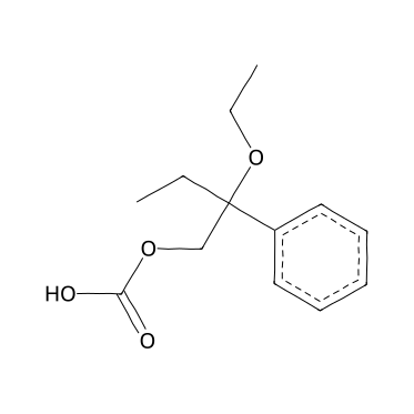 CCOC(CC)(COC(=O)O)c1ccccc1